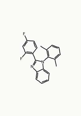 Cc1cccc(C)c1-n1c(-c2ccc(F)cc2F)nc2ccccc21